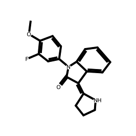 COc1ccc(N2C(=O)/C(=C3\CCCN3)c3ccccc32)cc1F